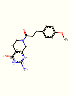 COc1ccc(CCC(=O)N2CCc3c(nc(N)[nH]c3=O)C2)cc1